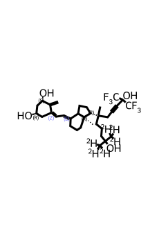 [2H]C([2H])([2H])C(O)(CCCC(C)(CC#CC(O)(C(F)(F)F)C(F)(F)F)[C@H]1CCC2/C(=C/C=C3/C[C@@H](O)C[C@H](O)C3=C)CCC[C@@]21C)C([2H])([2H])[2H]